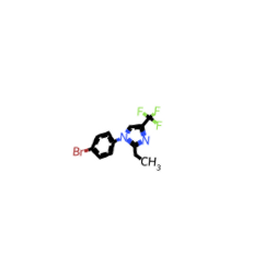 CCc1nc(C(F)(F)F)cn1-c1ccc(Br)cc1